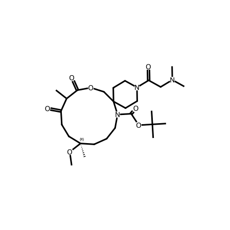 CO[C@]1(C)CCCN(C(=O)OC(C)(C)C)C2(CCN(C(=O)CN(C)C)CC2)COC(=O)C(C)C(=O)CC1